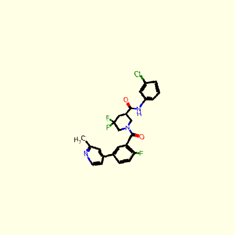 Cc1cc(-c2ccc(F)c(C(=O)N3CC(C(=O)Nc4cccc(Cl)c4)CC(F)(F)C3)c2)ccn1